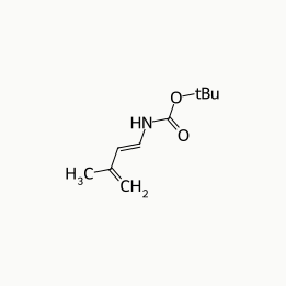 C=C(C)/C=C/NC(=O)OC(C)(C)C